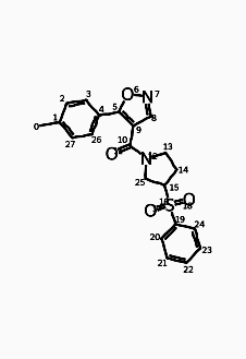 Cc1ccc(-c2oncc2C(=O)N2CCC(S(=O)(=O)c3ccccc3)C2)cc1